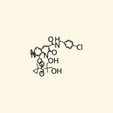 Cn1c(=O)c(C(=O)NCc2ccc(Cl)cc2)cc2cnnc(OCC3(S(=O)(=O)C(C)(CO)CO)CC3)c21